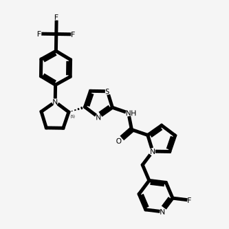 O=C(Nc1nc([C@@H]2CCCN2c2ccc(C(F)(F)F)cc2)cs1)c1cccn1Cc1ccnc(F)c1